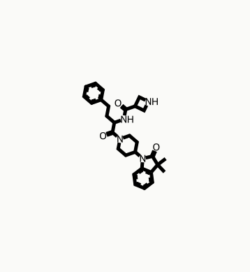 CC1(C)C(=O)N(C2CCN(C(=O)C(CCc3ccccc3)NC(=O)C3CNC3)CC2)c2ccccc21